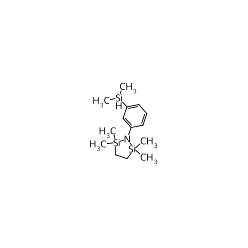 C[SiH](C)c1cccc(N2[Si](C)(C)CC[Si]2(C)C)c1